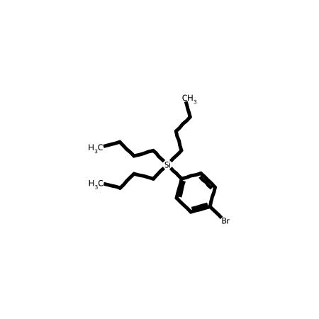 CCCC[Si](CCCC)(CCCC)c1ccc(Br)cc1